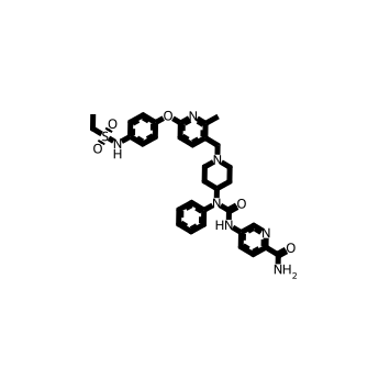 CCS(=O)(=O)Nc1ccc(Oc2ccc(CN3CCC(N(C(=O)Nc4ccc(C(N)=O)nc4)c4ccccc4)CC3)c(C)n2)cc1